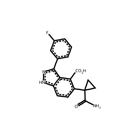 NC(=O)C1(c2ccc3[nH]nc(-c4cccc(F)c4)c3c2C(=O)O)CC1